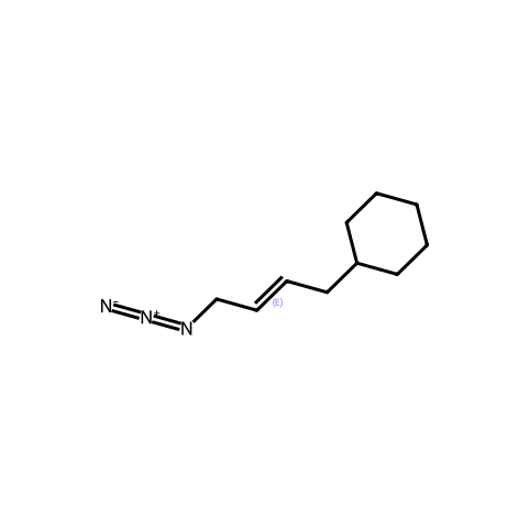 [N-]=[N+]=NC/C=C/CC1CCCCC1